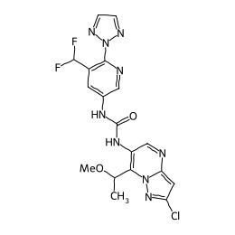 COC(C)c1c(NC(=O)Nc2cnc(-n3nccn3)c(C(F)F)c2)cnc2cc(Cl)nn12